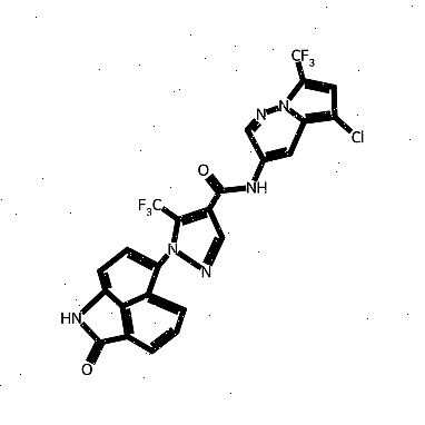 O=C(Nc1cnn2c(C(F)(F)F)cc(Cl)c2c1)c1cnn(-c2ccc3c4c(cccc24)C(=O)N3)c1C(F)(F)F